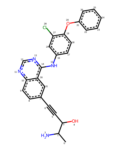 CC(N)C(O)C#Cc1ccc2ncnc(Nc3ccc(Oc4ccccc4)c(Cl)c3)c2c1